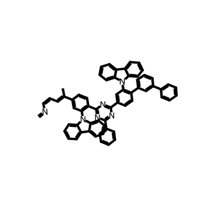 C=N/C=C\C=C(/C)c1ccc(-c2nc(-c3ccccc3)nc(-c3ccc(-c4cccc(-c5ccccc5)c4)c(-n4c5ccccc5c5ccccc54)c3)n2)c(-n2c3ccccc3c3ccccc32)c1